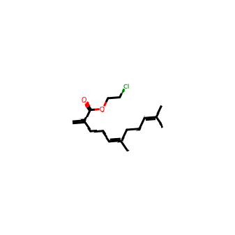 C=C(CCC=C(C)CCC=C(C)C)C(=O)OCCCl